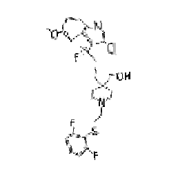 COc1ccc2ncc(Cl)c([C@@H](F)CCC3(CO)CCN(CCSc4c(F)cccc4F)CC3)c2c1